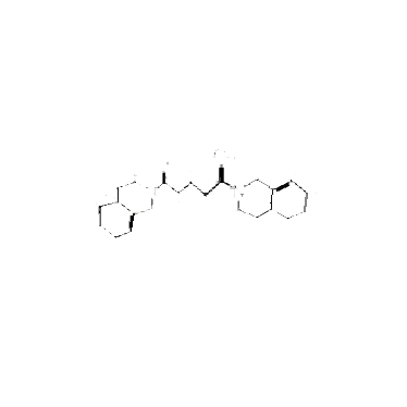 O=C(CCCC(=O)N1CCC2CCCC=C2C1)N1CCC2CCCC=C2C1